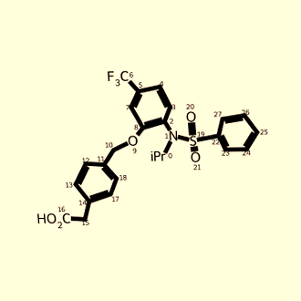 CC(C)N(c1ccc(C(F)(F)F)cc1OCc1ccc(CC(=O)O)cc1)S(=O)(=O)c1ccccc1